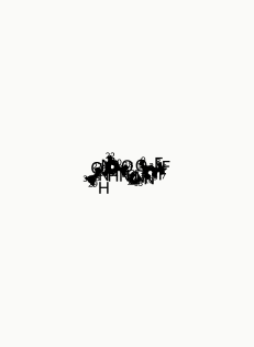 COc1cc(C(F)(F)F)cnc1N1CCC(NC(=O)c2cc(C)nc(NC(=O)C3CC3)c2)C1